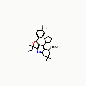 COC1CC(C)(C)Cc2nc3c(c(C4CCCC4)c21)C(c1ccc(C(F)(F)F)cc1)OC3(C)CI